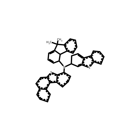 CC1(C)C2=CC=CC(N(c3cccc4c3sc3ccc5ccccc5c34)C3C=c4sc5ccccc5c4=CC3)C2c2ccccc21